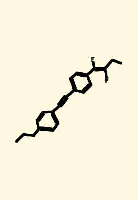 CCCc1ccc(C#Cc2ccc(C(F)=C(F)CC)cc2)cc1